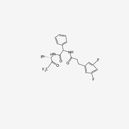 CC(C)[C@H](NC(=O)C(NC(=O)CCc1cc(F)cc(F)c1)c1ccccc1)C(=O)C(F)(F)F